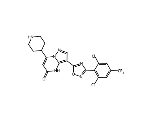 O=c1cc(C2CCNCC2)n2ncc(-c3nc(-c4c(Cl)cc(C(F)(F)F)cc4Cl)no3)c2[nH]1